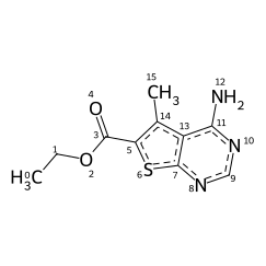 CCOC(=O)c1sc2ncnc(N)c2c1C